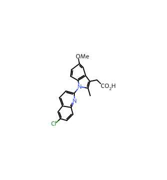 COc1ccc2c(c1)c(CC(=O)O)c(C)n2-c1ccc2cc(Cl)ccc2n1